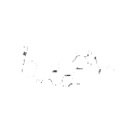 CNC(=O)c1cnc2c(F)cc(-c3c(F)cn4nc(N[C@H]5CC[C@@](C)(C#N)CC5)nc(OC)c34)cn12